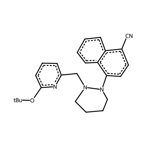 CC(C)(C)Oc1cccc(CN2CCCCN2c2ccc(C#N)c3ccccc23)n1